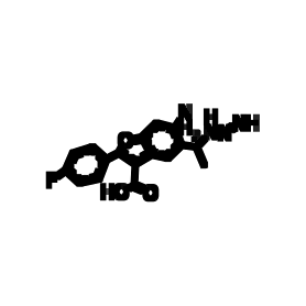 CC(NN=N)c1cc2c(C(=O)O)c(-c3ccc(F)cc3)oc2cc1N